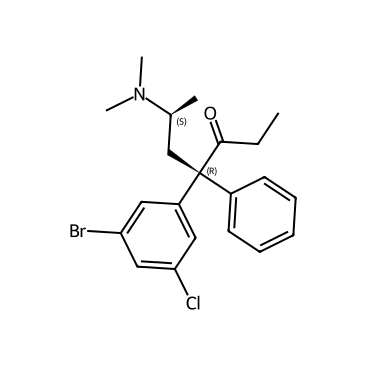 CCC(=O)[C@](C[C@H](C)N(C)C)(c1ccccc1)c1cc(Cl)cc(Br)c1